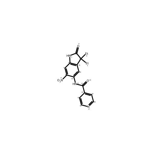 CCC1(CC)C(=O)Nc2cc([N+](=O)[O-])c(NC(=O)c3ccncc3)cc21